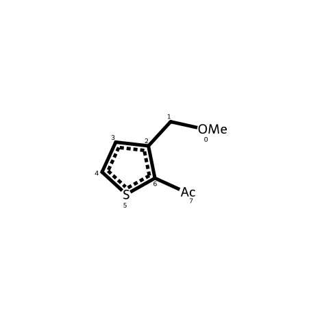 COCc1ccsc1C(C)=O